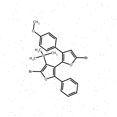 COc1ccc(-c2cc(Br)oc2-c2c(-c3ccccc3)oc(Br)c2[Si](C)(C)C)cc1